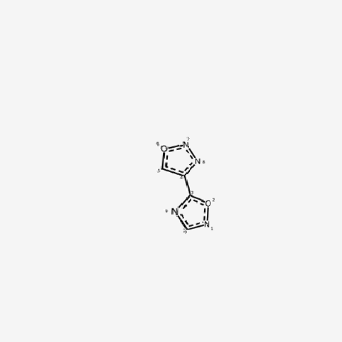 [c]1noc(-c2conn2)n1